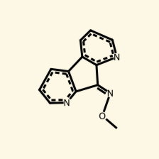 CON=C1c2ncccc2-c2cccnc21